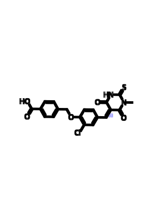 CN1C(=O)/C(=C/c2ccc(OCc3ccc(C(=O)O)cc3)c(Cl)c2)C(=O)NC1=S